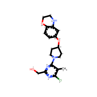 Cc1c(Cl)nc(CO)nc1N1CCC(Oc2ccc3c(c2)NCCO3)CC1